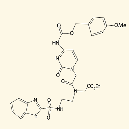 CCOC(=O)CN(CCNS(=O)(=O)c1nc2ccccc2s1)C(=O)Cn1ccc(NC(=O)OCc2ccc(OC)cc2)nc1=O